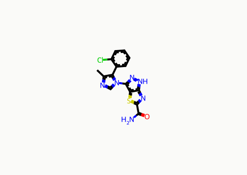 Cc1ncn(-c2n[nH]c3nc(C(N)=O)sc23)c1-c1ccccc1Cl